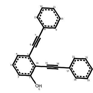 Oc1[c]ccc(C#Cc2ccccc2)c1C#Cc1ccccc1